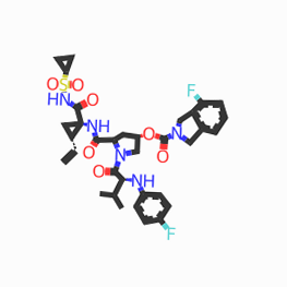 C=C[C@@H]1C[C@]1(NC(=O)C1C[C@@H](OC(=O)N2Cc3cccc(F)c3C2)CN1C(=O)[C@@H](Nc1ccc(F)cc1)C(C)C)C(=O)NS(=O)(=O)C1CC1